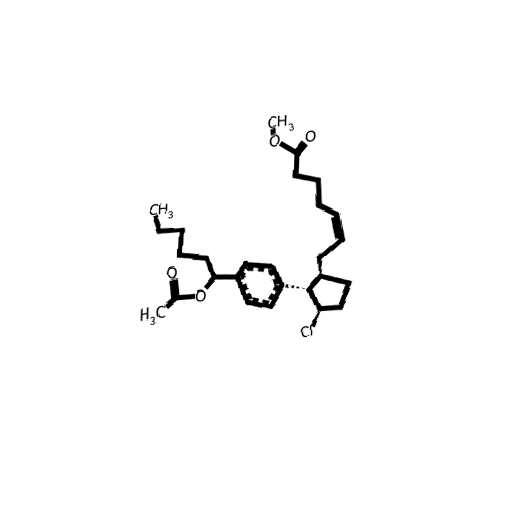 CCCCCC(OC(C)=O)c1ccc([C@@H]2[C@@H](C/C=C\CCCC(=O)OC)CC[C@H]2Cl)cc1